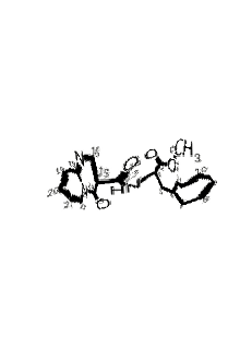 COC(=O)C(Cc1ccccc1)NC(=O)c1cnc2ccccn2c1=O